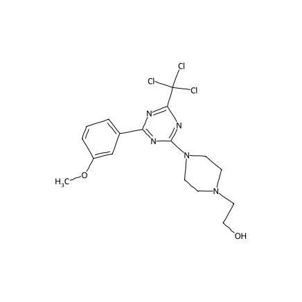 COc1cccc(-c2nc(N3CCN(CCO)CC3)nc(C(Cl)(Cl)Cl)n2)c1